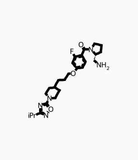 CC(C)c1noc(N2CCC(CCCOc3ccc(C(=O)N4CCC[C@@H]4CN)c(F)c3)CC2)n1